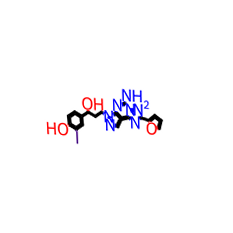 Nc1nc2c(cnn2CCC(O)c2ccc(O)c(I)c2)c2nc(-c3ccco3)nn12